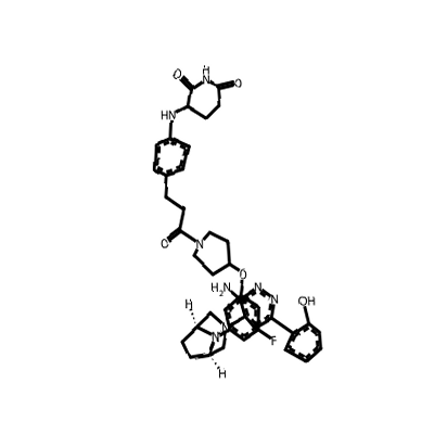 Nc1nnc(-c2ccccc2O)cc1N1C[C@H]2CC[C@@H](C1)N2c1cc(F)cc(OC2CCN(C(=O)CCc3ccc(NC4CCC(=O)NC4=O)cc3)CC2)c1